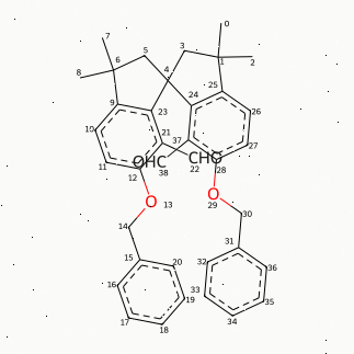 CC1(C)CC2(CC(C)(C)c3ccc(OCc4ccccc4)c(C=O)c32)c2c1ccc(OCc1ccccc1)c2C=O